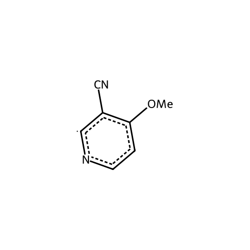 COc1ccn[c]c1C#N